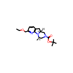 CCOCc1ccc2c(n1)N1[C@H](C2)CN(C(=O)OC(C)(C)C)C[C@H]1C